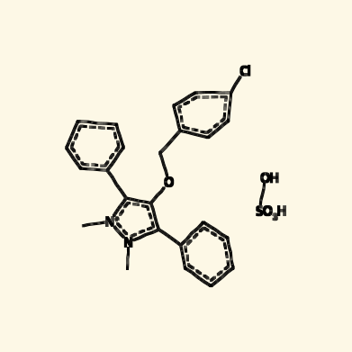 Cn1c(-c2ccccc2)c(OCc2ccc(Cl)cc2)c(-c2ccccc2)[n+]1C.O=S(=O)(O)O